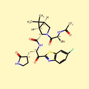 CC(C)(C)[C@H](NC(=O)C(F)(F)F)C(=O)N1C[C@H]2[C@@H]([C@H]1C(=O)N[C@@H](C[C@@H]1CCNC1=O)C(=O)c1nc3ccc(F)cc3s1)C2(C)C